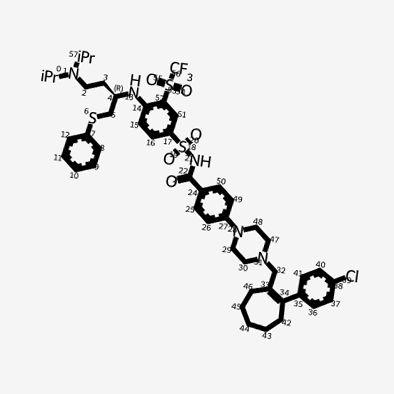 CC(C)N(CC[C@H](CSc1ccccc1)Nc1ccc(S(=O)(=O)NC(=O)c2ccc(N3CCN(CC4=C(c5ccc(Cl)cc5)CCCCC4)CC3)cc2)cc1S(=O)(=O)C(F)(F)F)C(C)C